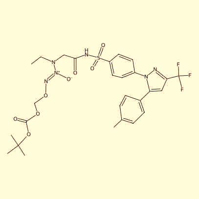 CCN(CC(=O)NS(=O)(=O)c1ccc(-n2nc(C(F)(F)F)cc2-c2ccc(C)cc2)cc1)[N+]([O-])=NOCOC(=O)OC(C)(C)C